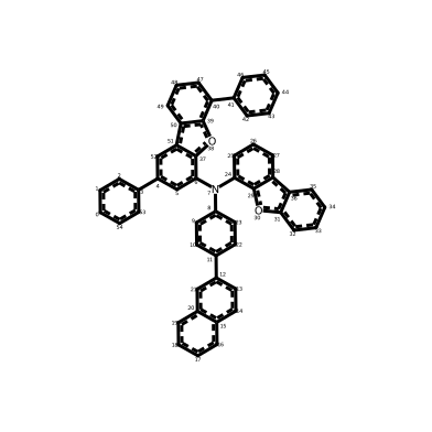 c1ccc(-c2cc(N(c3ccc(-c4ccc5ccccc5c4)cc3)c3cccc4c3oc3ccccc34)c3oc4c(-c5ccccc5)cccc4c3c2)cc1